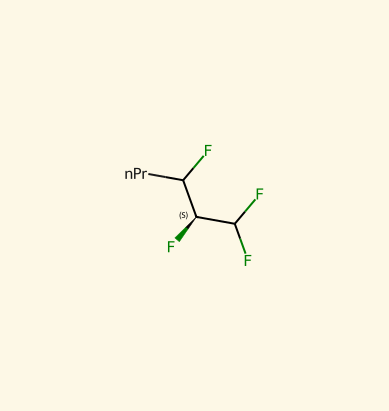 [CH2]CCC(F)[C@H](F)C(F)F